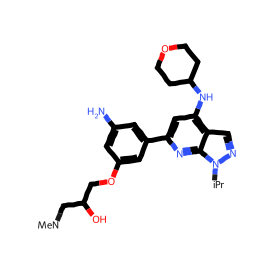 CNCC(O)COc1cc(N)cc(-c2cc(NC3CCOCC3)c3cnn(C(C)C)c3n2)c1